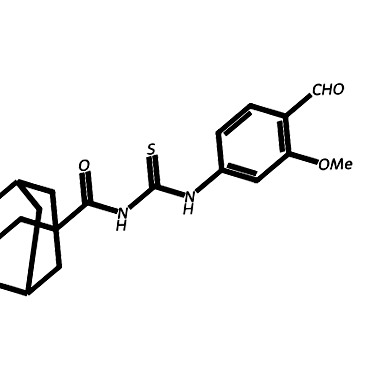 COc1cc(NC(=S)NC(=O)C23CC4CC(CC(C4)C2)C3)ccc1C=O